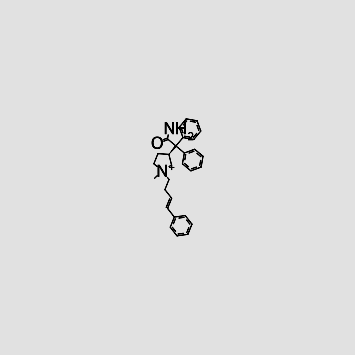 C[N+]1(CC/C=C/c2ccccc2)CC[C@@H](C(C(N)=O)(c2ccccc2)c2ccccc2)C1